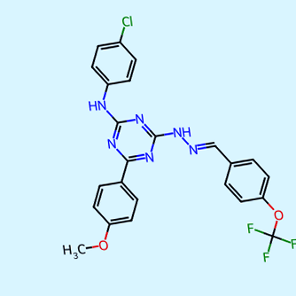 COc1ccc(-c2nc(NN=Cc3ccc(OC(F)(F)F)cc3)nc(Nc3ccc(Cl)cc3)n2)cc1